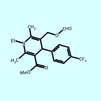 CCN1C(C)=C(COC=O)C(c2ccc(C(F)(F)F)cc2)C(C(=O)OC)=C1C